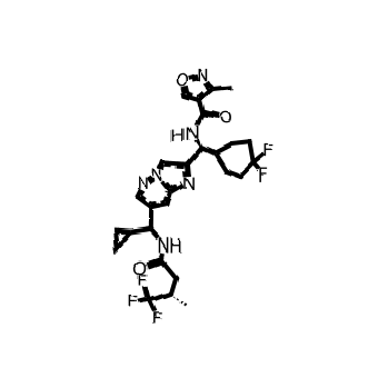 Cc1nocc1C(=O)N[C@H](c1cn2ncc(C(NC(=O)C[C@H](C)C(F)(F)F)C3CC3)cc2n1)C1CCC(F)(F)CC1